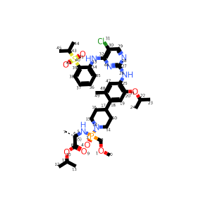 COCP(=O)(N[C@@H](C)C(=O)OC(C)C)N1CCC(c2cc(OC(C)C)c(Nc3ncc(Cl)c(Nc4ccccc4S(=O)(=O)C(C)C)n3)cc2C)CC1